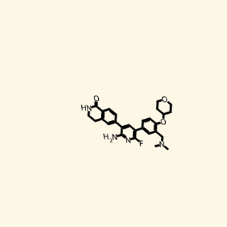 CN(C)Cc1cc(-c2cc(-c3ccc4c(c3)CCNC4=O)c(N)nc2F)ccc1OC1CCOCC1